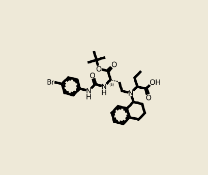 CCC(C(=O)O)N(CC[C@H](NC(=O)Nc1ccc(Br)cc1)C(=O)OC(C)(C)C)C1CCCc2ccccc21